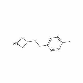 Cc1ccc(CCC2CNC2)cn1